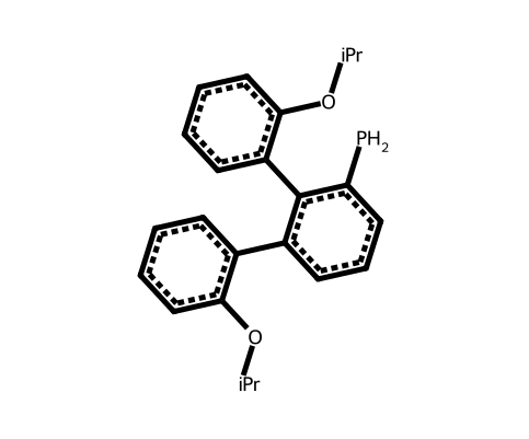 CC(C)Oc1ccccc1-c1cccc(P)c1-c1ccccc1OC(C)C